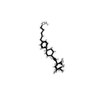 CCCCCCc1ccc(C2CCC(C#Cc3cc(F)c(F)nc3F)CC2)cc1